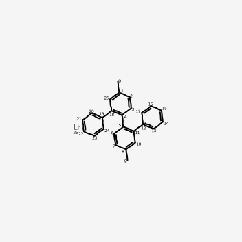 Cc1ccc(-c2ccc(C)cc2-c2ccccc2)c(-c2ccccc2)c1.[Li]